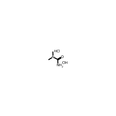 CN(C)C(N)=O.Cl.Cl